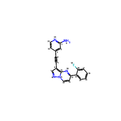 Nc1cc(C#Cc2cnn3ccc(-c4cc[c]cc4F)nc23)ccn1